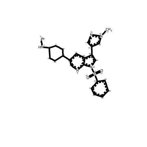 CC(C)NC1CCC(c2cnc3c(c2)c(-c2cnn(C)c2)cn3S(=O)(=O)c2ccccc2)CC1